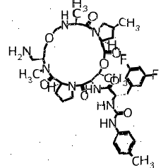 Cc1ccc(NC(=O)N[C@@H](Cc2cc(F)cc(F)c2)C(=O)N[C@@H]2C(=O)N3CCC[C@H]3C(=O)N(C)[C@@H](CN)COCN[C@@H](C)C(=O)N3C[C@@H](C)C[C@H]3C(=O)O[C@H]2C)cc1